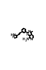 Cc1nc(-c2cccc(C#Cc3ccn[nH]3)c2)nc2c(N)nccc12